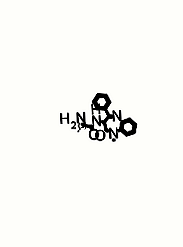 C[C@H](N)C(=O)NC1C(=O)N(C)c2ccccc2N=C1c1ccccc1